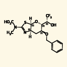 CN(C(=O)O)C1=N[C@@H]2C[C@H](OCc3ccccc3)[C@@H]([C@@H](O)C(F)(F)F)O[C@@H]2S1